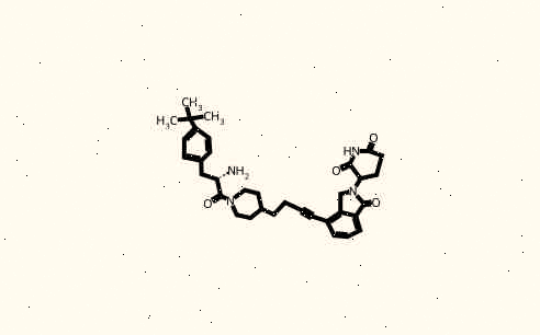 CC(C)(C)c1ccc(C[C@H](N)C(=O)N2CCC(CCC#Cc3cccc4c3CN(C3CCC(=O)NC3=O)C4=O)CC2)cc1